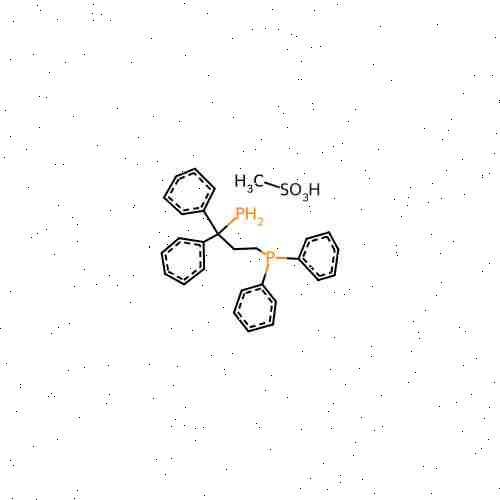 CS(=O)(=O)O.PC(CCP(c1ccccc1)c1ccccc1)(c1ccccc1)c1ccccc1